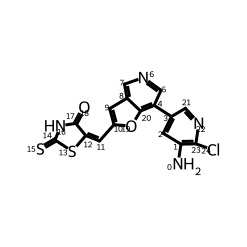 Nc1cc(-c2cncc3cc(C=C4SC(=S)NC4=O)oc23)cnc1Cl